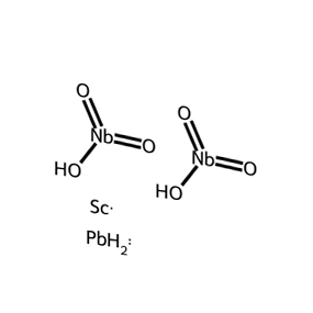 [O]=[Nb](=[O])[OH].[O]=[Nb](=[O])[OH].[PbH2].[Sc]